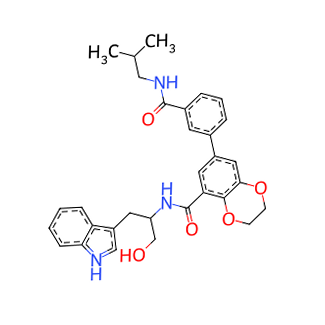 CC(C)CNC(=O)c1cccc(-c2cc3c(c(C(=O)NC(CO)Cc4c[nH]c5ccccc45)c2)OCCO3)c1